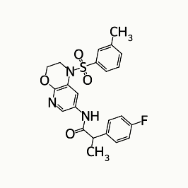 Cc1cccc(S(=O)(=O)N2CCOc3ncc(NC(=O)C(C)c4ccc(F)cc4)cc32)c1